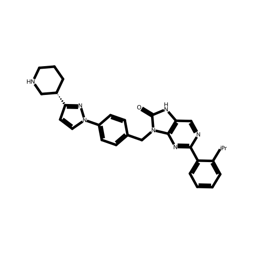 CC(C)c1ccccc1-c1ncc2[nH]c(=O)n(Cc3ccc(-n4ccc([C@H]5CCCNC5)n4)cc3)c2n1